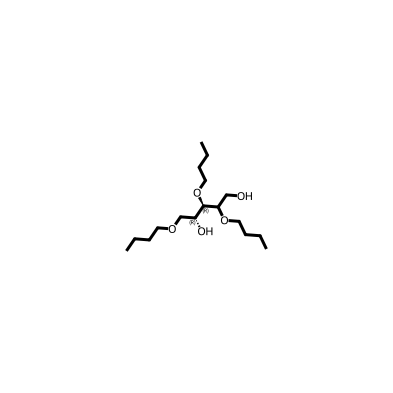 CCCCOC[C@@H](O)[C@@H](OCCCC)C(CO)OCCCC